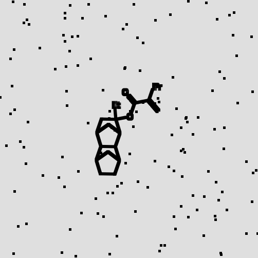 C=C(C(=O)OC1(CC)CC2CC1C1C3CCC(C3)C21)C(C)C